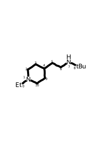 CCN1CCC(CCNC(C)(C)C)CC1